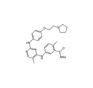 CN[S+]([O-])c1cc(Nc2nc(Nc3ccc(OCCN4CCCC4)cc3)ncc2C)ccc1C